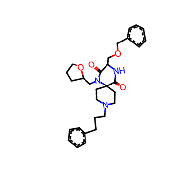 O=C1C(COCc2ccccc2)NC(=O)C2(CCN(CCCc3ccccc3)CC2)N1CC1CCCO1